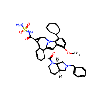 COc1ccc(C2CCCCC2)c2c1cc1n2CC2=C(C(=O)NS(N)(=O)=O)C2=C2C=CC[C@@H](C(=O)N3CCC[C@@H]4CN(Cc5ccccc5)C[C@@H]43)C21